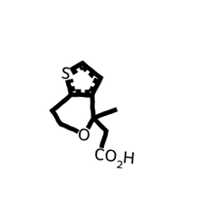 CC1(CC(=O)O)OCCc2sccc21